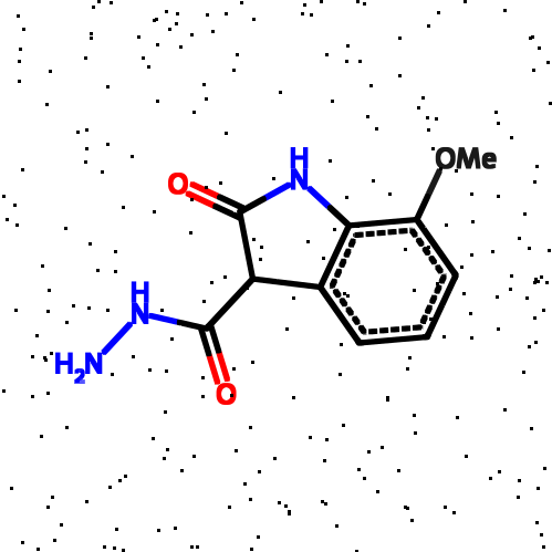 COc1cccc2c1NC(=O)C2C(=O)NN